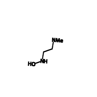 CNCCNO